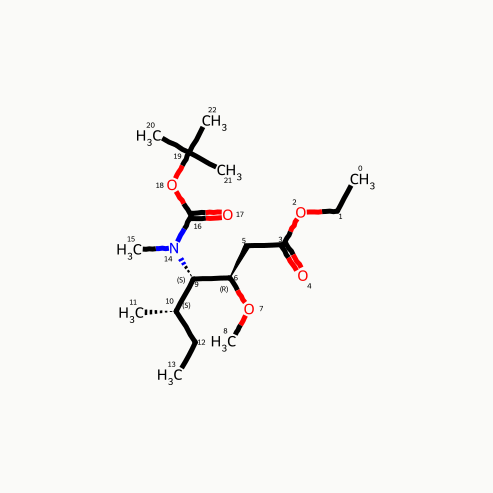 CCOC(=O)C[C@@H](OC)[C@H]([C@@H](C)CC)N(C)C(=O)OC(C)(C)C